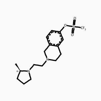 C[C@@H]1CCCN1CCN1CCc2cc(OS(=O)(=O)C(F)(F)F)ccc2C1